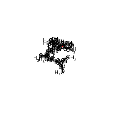 CC[C@H](C)[C@@H]([C@@H](CC(=O)N1CCC[C@H]1[C@H](OC)[C@@H](C)C(=O)N[C@H](C)[C@@H](O)c1ccccc1)OC)N(C)C(=O)[C@@H](NC(=O)[C@H](C(C)C)N(C)C(=O)OCc1ccc(NC(=O)[C@H](CCCNC(N)=O)NC(=O)[C@@H](NC(=O)CSCCC(=O)O[C@@H]2C[C@H](OC(=O)CCSC)C[C@H](OC(=O)CCSC)C2)C(C)C)cc1)C(C)C